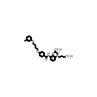 Cc1cccc(OCCCCOc2ccc(C(=O)Nc3cccc4c3OC(C(=O)O)CN4CCCC(=O)O)cc2)c1